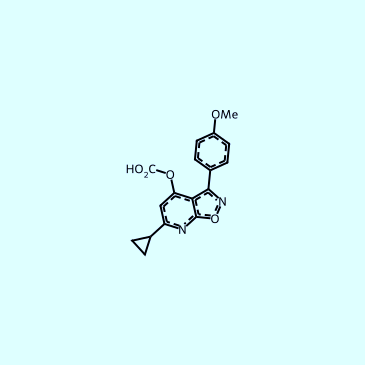 COc1ccc(-c2noc3nc(C4CC4)cc(OC(=O)O)c23)cc1